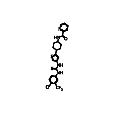 O=C(NC1CCC(c2cc(NC(=S)Nc3ccc(Cl)c(C(F)(F)F)c3)cs2)CC1)c1ccccn1